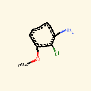 CCCCOc1cccc(N)c1Cl